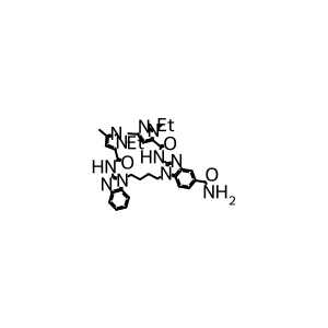 CCn1nc(C)cc1C(=O)Nc1nc2ccccc2n1CCCCn1c(NC(=O)c2cc(C)nn2CC)nc2cc(C(N)=O)ccc21